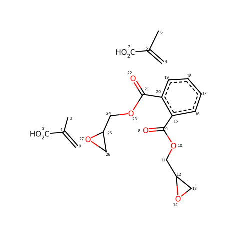 C=C(C)C(=O)O.C=C(C)C(=O)O.O=C(OCC1CO1)c1ccccc1C(=O)OCC1CO1